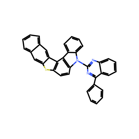 c1ccc(-c2nc(-n3c4ccccc4c4c5c(ccc43)sc3cc4ccccc4cc35)nc3ccccc23)cc1